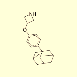 c1cc(C23CC4CC(CC(C4)C2)C3)ccc1OC1CNC1